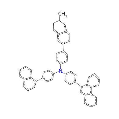 CC1C=c2ccc(-c3ccc(N(c4ccc(-c5cccc6ccccc56)cc4)c4ccc(-c5cc6ccccc6c6ccccc56)cc4)cc3)cc2=CC1